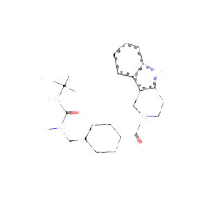 CN(C[C@H]1CC[C@H](C(=O)N2CCc3[nH]c4ccccc4c3C2)CC1)C(=O)NC(C)(C)C